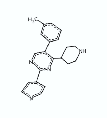 Cc1cccc(-c2cnc(-c3ccncc3)nc2C2CCNCC2)c1